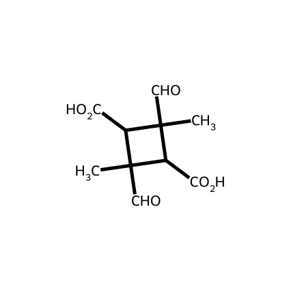 CC1(C=O)C(C(=O)O)C(C)(C=O)C1C(=O)O